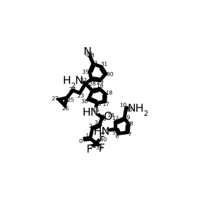 C=C(/C=C(\Nc1cccc(CN)c1)C(=O)Nc1cccc(C(N)(CCC2CC2)c2cccc(C#N)c2)c1)C(F)(F)F